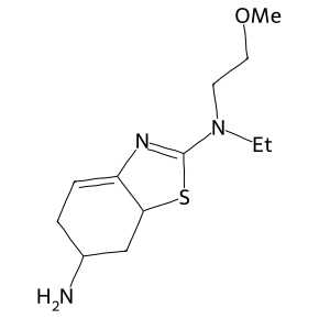 CCN(CCOC)C1=NC2=CCC(N)CC2S1